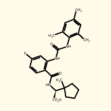 Cc1cc(C)c(NC(=O)Nc2cc(F)ccc2C(=O)N[C@H](C(=O)O)C2(C)CCCC2)c(C)c1